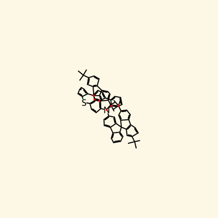 CC(C)(C)c1ccc2c(c1)C1(c3ccccc3Sc3ccc(N(c4ccc5c(c4)C4(c6ccccc6-5)c5cc(C(C)(C)C)ccc5-c5ccc(C(C)(C)C)cc54)c4ccccc4-c4ccccc4)cc31)c1cc(C(C)(C)C)ccc1-2